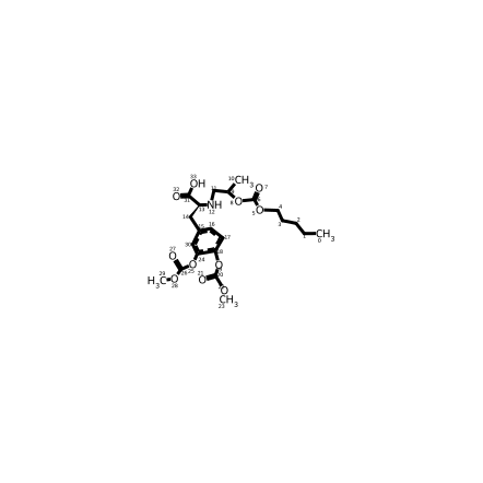 CCCCCOC(=O)OC(C)CN[C@@H](Cc1ccc(OC(=O)OC)c(OC(=O)OC)c1)C(=O)O